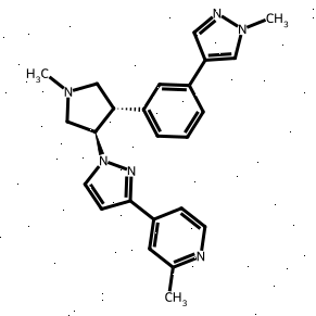 Cc1cc(-c2ccn([C@H]3CN(C)C[C@@H]3c3cccc(-c4cnn(C)c4)c3)n2)ccn1